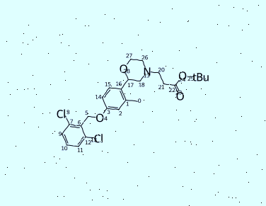 Cc1cc(OCc2c(Cl)cccc2Cl)ccc1C1CN(CCC(=O)OC(C)(C)C)CCO1